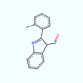 Cc1ccccc1C1=Nc2ccccc2C1C=O